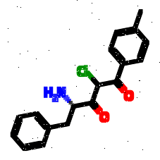 Cc1ccc(C(=O)C(Cl)C(=O)[C@@H](N)Cc2ccccc2)cc1